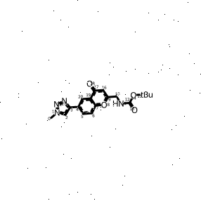 Cn1cc(-c2ccc3oc(CNC(=O)OC(C)(C)C)cc(=O)c3c2)nn1